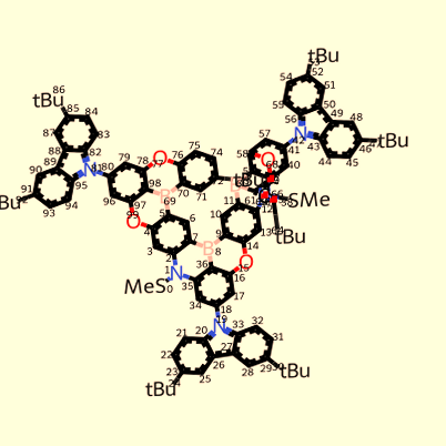 CSN1c2cc3c(cc2B2c4cc5c(cc4Oc4cc(-n6c7ccc(C(C)(C)C)cc7c7cc(C(C)(C)C)ccc76)cc1c42)N(SC)c1cc(-n2c4ccc(C(C)(C)C)cc4c4cc(C(C)(C)C)ccc42)cc2c1B5c1cc(C(C)(C)C)ccc1O2)B1c2cc(C(C)(C)C)ccc2Oc2cc(-n4c5ccc(C(C)(C)C)cc5c5cc(C(C)(C)C)ccc54)cc(c21)O3